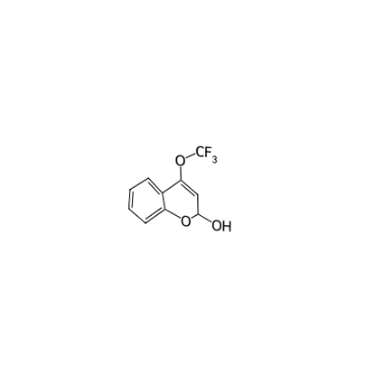 OC1C=C(OC(F)(F)F)c2ccccc2O1